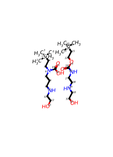 C[Si](C)(C)CCN(CCCNCCO)C(=O)O.C[Si](C)(C)CCOC(=O)NCCNCCO